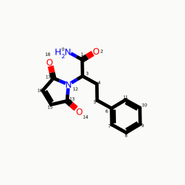 NC(=O)C(CCc1ccccc1)N1C(=O)C=CC1=O